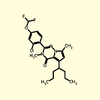 CCCC(CCC)c1cc(C)n2nc(-c3ccc(OC(F)F)cc3Cl)n(C)c(=O)c12